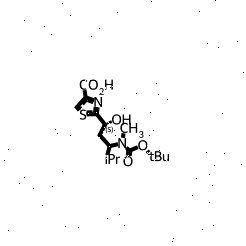 CC(C)C(C[C@H](O)c1nc(C(=O)O)cs1)N(C)C(=O)OC(C)(C)C